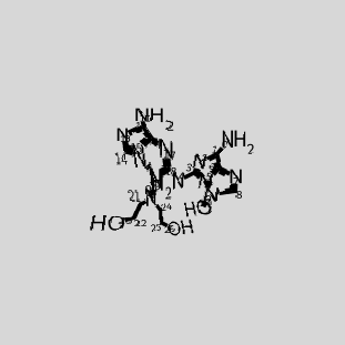 Nc1nc(N)n2c1ncn2O.Nc1ncn2c1ncn2N(CCO)CCO